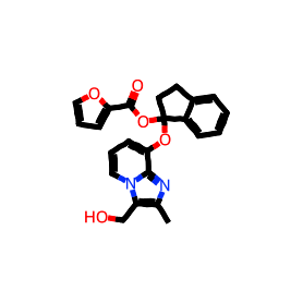 Cc1nc2c(OC3(OC(=O)c4ccco4)CCc4ccccc43)cccn2c1CO